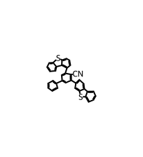 N#Cc1c(-c2ccc3c(c2)sc2ccccc23)cc(-c2ccccc2)cc1-c1cccc2sc3ccccc3c12